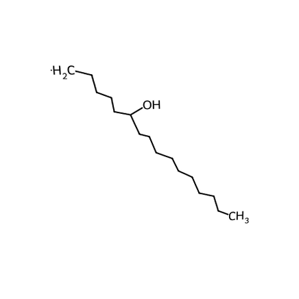 [CH2]CCCCC(O)CCCCCCCCCC